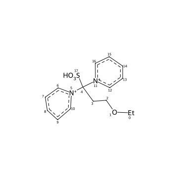 CCOCCC([n+]1ccccc1)([n+]1ccccc1)S(=O)(=O)O